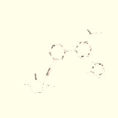 Cc1nccn1-c1cc(C(=O)O)nc(-c2cccc(C#C[C@]3(O)CCN(C)C3=O)c2)n1